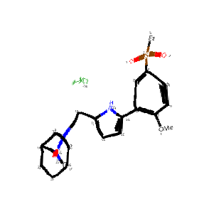 CCS(=O)(=O)c1ccc(OC)c(-c2ccc(CN3CC4CCC(CC4)C3)[nH]2)c1.Cl